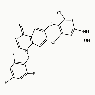 O=c1ncn(Cc2c(F)cc(F)cc2F)c2ccc(Oc3c(Cl)cc(NO)cc3Cl)cc12